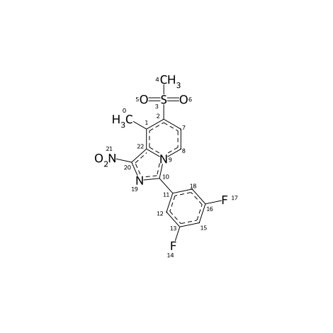 Cc1c(S(C)(=O)=O)ccn2c(-c3cc(F)cc(F)c3)nc([N+](=O)[O-])c12